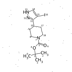 CC(C)(C)OC(=O)N1CCC(c2n[nH]cc2I)CC1